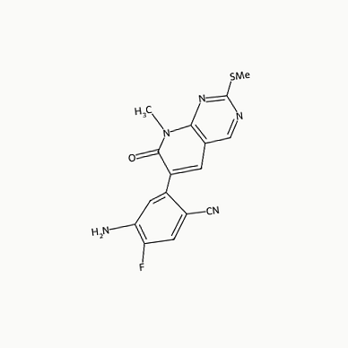 CSc1ncc2cc(-c3cc(N)c(F)cc3C#N)c(=O)n(C)c2n1